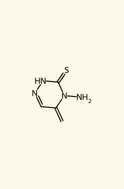 C=C1C=NNC(=S)N1N